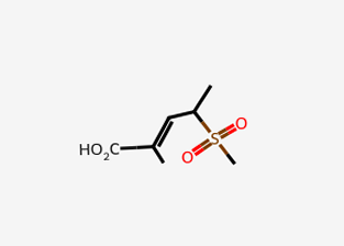 CC(=CC(C)S(C)(=O)=O)C(=O)O